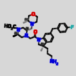 C[C@@H]1COCCN1C[C@H]1CN(C(=O)O)[C@H](C)CN1CC(=O)N1C[C@](C)(CCCN)c2ccc(Cc3ccc(F)cc3)cc21